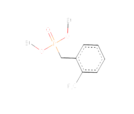 CCOP(=O)(Cc1ccccc1C(F)(F)F)OCC